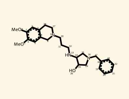 COc1cc2c(cc1OC)CN(CCCNC1CN(Cc3ccccc3)CC1O)CC2